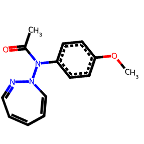 COc1ccc(N(C(C)=O)N2C=CC=CC=N2)cc1